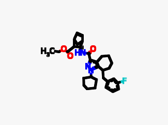 CCOC(=O)C1C2C=CC(C2)[C@H]1NC(=O)c1nn(C2CCCCC2)c2c1CCCCC2Cc1cccc(F)c1